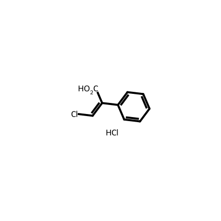 Cl.O=C(O)C(=CCl)c1ccccc1